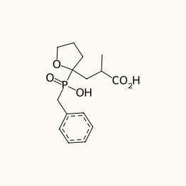 CC(CC1(P(=O)(O)Cc2ccccc2)CCCO1)C(=O)O